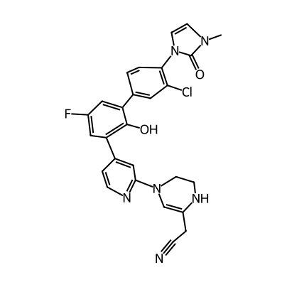 Cn1ccn(-c2ccc(-c3cc(F)cc(-c4ccnc(N5C=C(CC#N)NCC5)c4)c3O)cc2Cl)c1=O